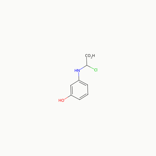 O=C(O)C(Cl)Nc1cccc(O)c1